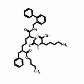 CCCCOC(=O)C(CCCC(NC(=O)NC(CCCCN)C(=O)O)C(=O)NCc1ccccc1-c1ccccc1)Cc1ccccc1